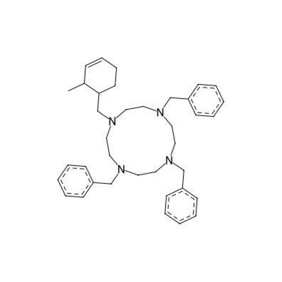 CC1C=CCCC1CN1CCN(Cc2ccccc2)CCN(Cc2ccccc2)CCN(Cc2ccccc2)CC1